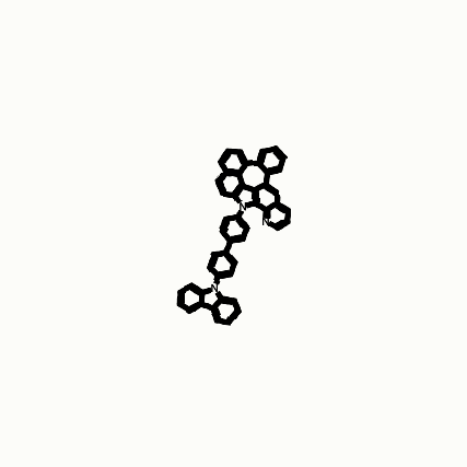 c1ccc2c(c1)-c1cccc3ccc4c(c13)c1c-2cc2cccnc2c1n4-c1ccc(-c2ccc(-n3c4ccccc4c4ccccc43)cc2)cc1